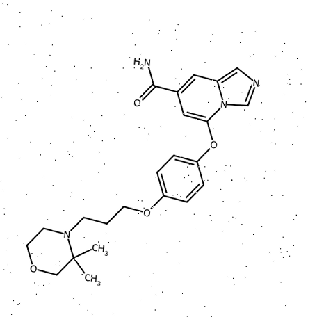 CC1(C)COCCN1CCCOc1ccc(Oc2cc(C(N)=O)cc3cncn23)cc1